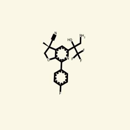 C[C@]1(C#N)COc2c1cc(C(O)(CN)C(F)(F)F)nc2-c1ccc(F)cc1